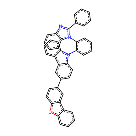 c1ccc(-c2nc3ccccc3n2-c2ccccc2-n2c3ccccc3c3cc(-c4ccc5oc6ccccc6c5c4)ccc32)cc1